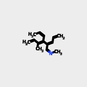 C=C/C=C(/C=N\C)C(\C=C/C)=C(/C)C=C